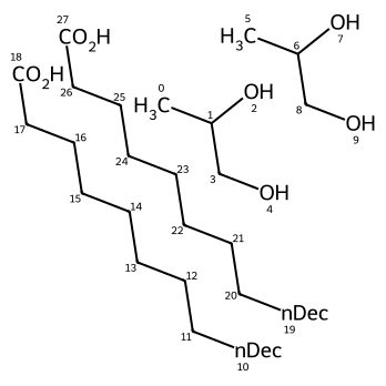 CC(O)CO.CC(O)CO.CCCCCCCCCCCCCCCCCC(=O)O.CCCCCCCCCCCCCCCCCC(=O)O